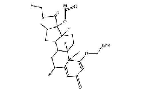 CCC(=O)OC1(C(=O)SCF)C(C)CC2C3CC(F)C4=CC(=O)C=C(OCSC)C4(C)C3(F)CCC21C